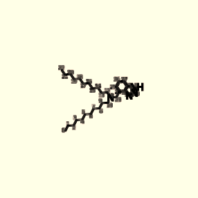 CCCCCCCCCCCN(CCCCCCCCCCC)Cc1cccc2[nH]nnc12